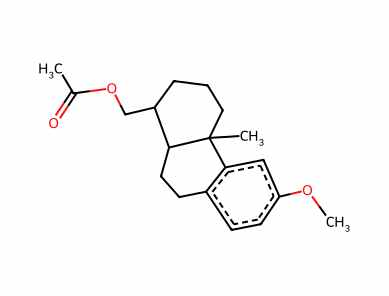 COc1ccc2c(c1)C1(C)CCCC(COC(C)=O)C1CC2